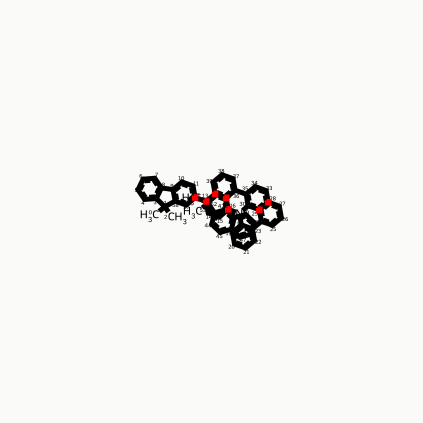 CC1(C)c2ccccc2-c2ccc(-c3ccc(N(c4ccccc4-c4ccccc4)c4ccccc4-c4cccc5c4-c4c(ccc6ccccc46)C5(C)C)cc3)cc21